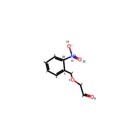 O=[C]COCc1ccccc1[N+](=O)[O-]